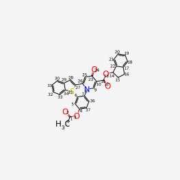 CC(=O)Oc1ccc(-n2cc(C(=O)OC3CCc4ccccc43)c(=O)cc2-c2cc3ccccc3s2)cc1